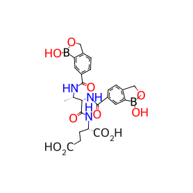 C[C@H](NC(=O)c1ccc2c(c1)B(O)OC2)[C@H](NC(=O)c1ccc2c(c1)B(O)OC2)C(=O)N[C@@H](CCC(=O)O)C(=O)O